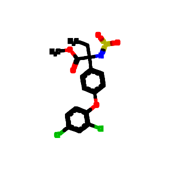 CCC(N=S(=O)=O)(C(=O)OC)c1ccc(Oc2ccc(Cl)cc2Cl)cc1